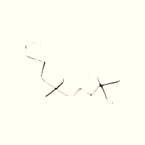 CCC(C)(CCOC(C)(C)CCCC=O)OC